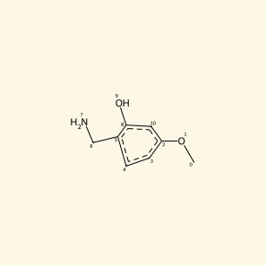 COc1ccc(CN)c(O)c1